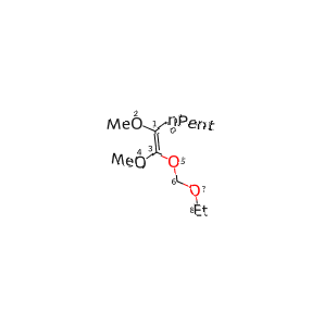 CCCCCC(OC)=C(OC)OCOCC